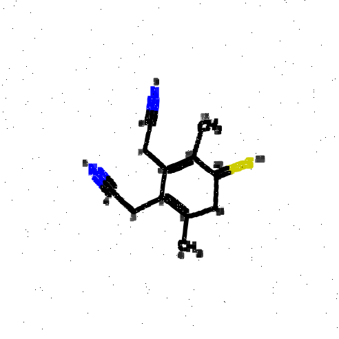 CC1=C(CC#N)C(CC#N)=C(C)C(=S)C1